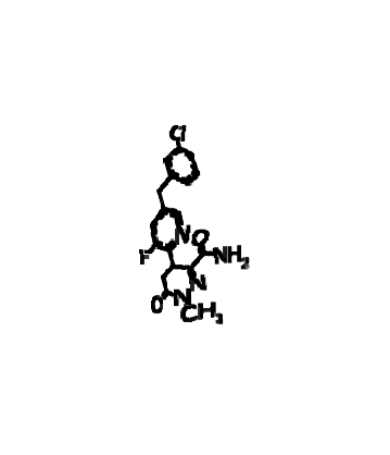 CN1N=C(C(N)=O)C(c2ncc(Cc3cccc(Cl)c3)cc2F)CC1=O